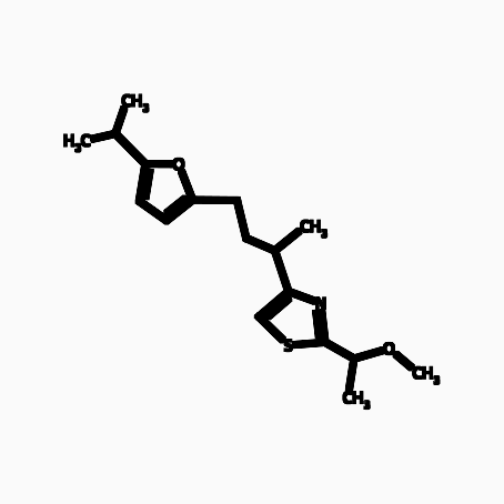 COC(C)c1nc(C(C)CCc2ccc(C(C)C)o2)cs1